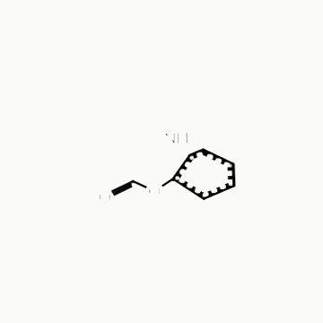 N.O=COc1ccccc1